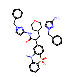 CN1c2ccccc2S(=O)(=O)c2ccc(C(CC3CCOCC3)C(=O)Nc3ccn(Cc4ccccc4)n3)cc21.Nc1ccn(Cc2ccccc2)n1